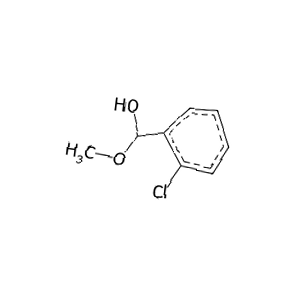 COC(O)c1ccccc1Cl